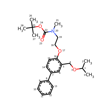 CC(C)OCc1cc(-c2ccccc2)ccc1OCCN(C)C(=O)OC(C)(C)C